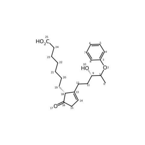 CC(Oc1ccccc1)[C@@H](O)CCC1=CCC(=O)[C@@H]1CCCCCCC(=O)O